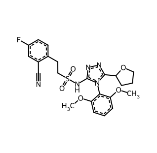 COc1cccc(OC)c1-n1c(NS(=O)(=O)CCc2ccc(F)cc2C#N)nnc1C1CCCO1